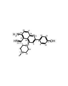 CN1CCN(c2cc(-c3ccc(O)cc3)nc3ccc(N)c(C=N)c23)CC1